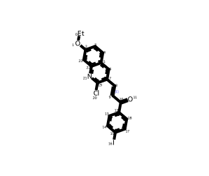 CCOc1ccc2cc(/C=C/C(=O)c3ccc(I)cc3)c(Cl)nc2c1